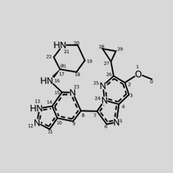 COc1cc2ncc(-c3cc4cn[nH]c4c(N[C@@H]4CCCNC4)n3)n2nc1C1CC1